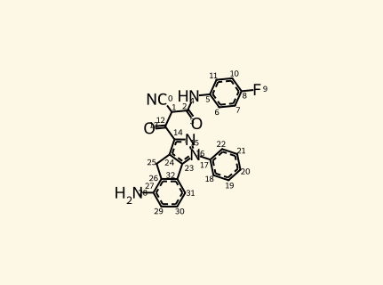 N#CC(C(=O)Nc1ccc(F)cc1)C(=O)c1nn(-c2ccccc2)c2c1Cc1c(N)cccc1-2